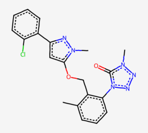 Cc1cccc(-n2nnn(C)c2=O)c1COc1cc(-c2ccccc2Cl)nn1C